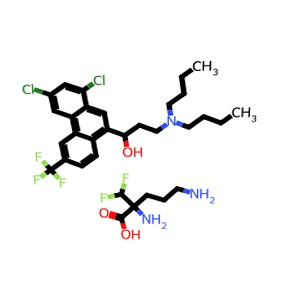 CCCCN(CCCC)CCC(O)c1cc2c(Cl)cc(Cl)cc2c2cc(C(F)(F)F)ccc12.NCCCC(N)(C(=O)O)C(F)F